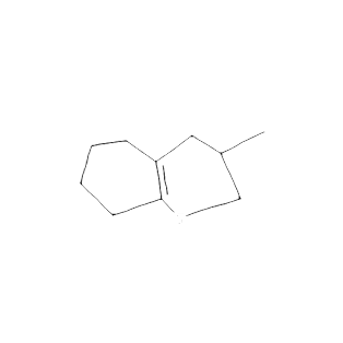 CC1CSC2=C(CCCC2)C1